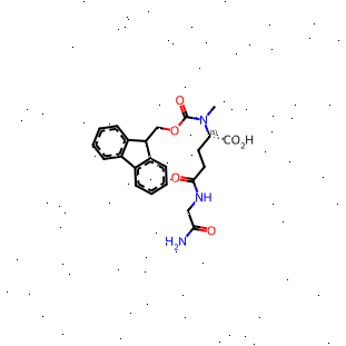 CN(C(=O)OCC1c2ccccc2-c2ccccc21)[C@@H](CCC(=O)NCC(N)=O)C(=O)O